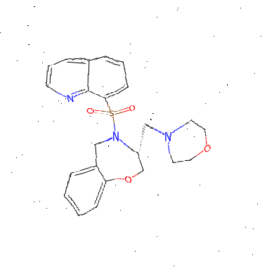 O=S(=O)(c1cccc2cccnc12)N1Cc2ccccc2OC[C@H]1CN1CCOCC1